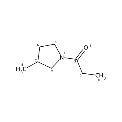 CCC(=O)N1CCC(C)C1